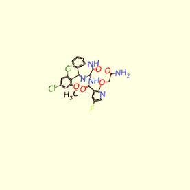 COc1cc(Cl)cc(Cl)c1C1=NC(NC(=O)c2cc(F)cnc2OCC(N)=O)C(=O)Nc2ccccc21